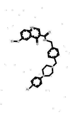 CCOc1ccc2[nH]cc(C(=O)NCc3ccc(CN4CCN(c5ccc(C(C)=O)cc5)CC4)cc3)c(=O)c2c1